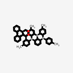 Cc1ccc(N2c3ccc(C)cc3B3c4cc(C)ccc4N(c4ccc(C)cc4-c4cccc5c6ccccc6c6ccccc6c45)c4cccc2c43)cc1